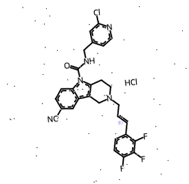 Cl.N#Cc1ccc2c(c1)c1c(n2C(=O)NCc2ccnc(Cl)c2)CCN(C/C=C/c2ccc(F)c(F)c2F)C1